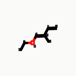 C=C/C(C)=C/OCC